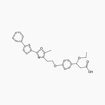 CCOC(CC(=O)O)c1ccc(OCCc2nc(-c3ccc(-c4ccccc4)s3)oc2C)cc1